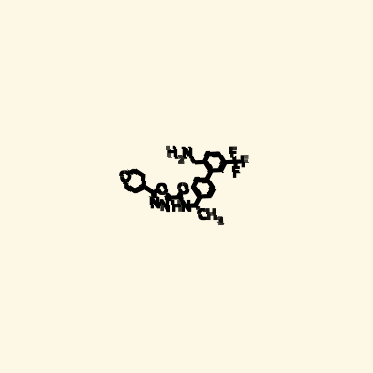 C[C@@H](NC(=O)c1nnc(C2CCOCC2)o1)c1ccc(-c2cc(C(F)(F)F)ccc2CN)cc1